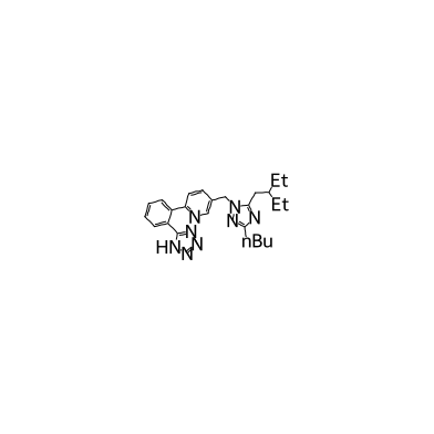 CCCCc1nc(CC(CC)CC)n(Cc2ccc(-c3ccccc3-c3nnn[nH]3)nc2)n1